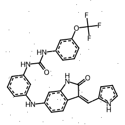 O=C(Nc1cccc(Nc2ccc3c(c2)NC(=O)C3=Cc2ccc[nH]2)c1)Nc1cccc(OC(F)(F)F)c1